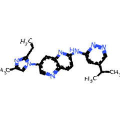 CCc1nc(C)cn1-c1cnc2ccc(Nc3cc(C(C)C)cnn3)nc2c1